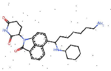 NCCCCCCC(NC1CCCCC1)c1ccc2c3c(cccc13)C(=O)N2C1CCC(=O)NC1=O